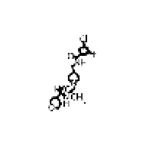 CC(C)(CN1CCC(CNC(=O)c2cc(F)cc(Cl)c2)CC1)NC1(C2CCOCC2)CC1